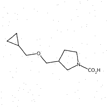 O=C(O)N1CCC(COCC2CC2)C1